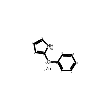 [Zn].c1ccc(Oc2ccc[nH]2)cc1